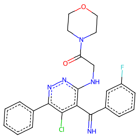 N=C(c1cccc(F)c1)c1c(NCC(=O)N2CCOCC2)nnc(-c2ccccc2)c1Cl